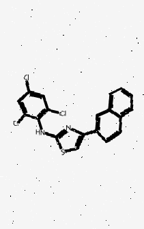 Clc1cc(Cl)c(Nc2nc(-c3ccc4ccccc4c3)cs2)c(Cl)c1